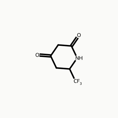 O=C1CC(=O)NC(C(F)(F)F)C1